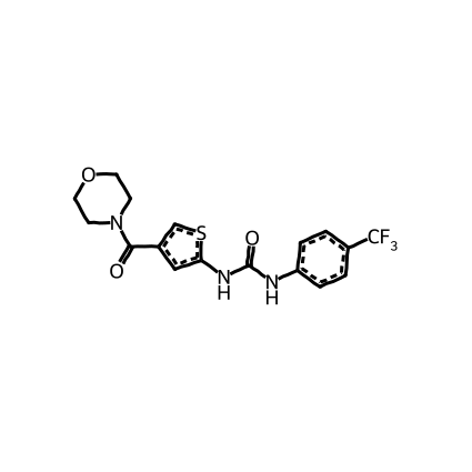 O=C(Nc1ccc(C(F)(F)F)cc1)Nc1cc(C(=O)N2CCOCC2)cs1